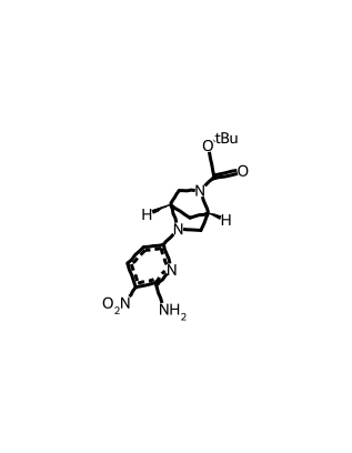 CC(C)(C)OC(=O)N1C[C@@H]2C[C@H]1CN2c1ccc([N+](=O)[O-])c(N)n1